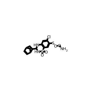 NOOSc1cc2c(cc1Cl)NC(C1CC3C=CC1C3)NS2(=O)=O